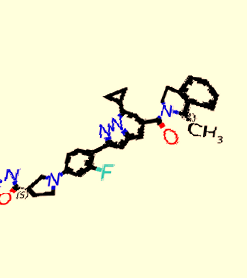 C[C@@H]1c2ccccc2CCN1C(=O)c1cc(C2CC2)n2nc(-c3ccc(N4CC[C@H](C(N)=O)C4)cc3F)cc2c1